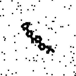 C=CC(=O)Nc1cccc(-c2ccnc(Nc3ccc(C4CNCCO4)cc3)n2)c1